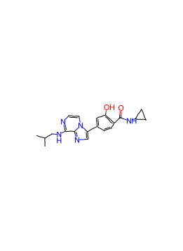 CC(C)CNc1nccn2c(-c3ccc(C(=O)NC4CC4)c(O)c3)cnc12